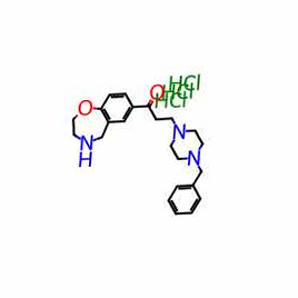 Cl.Cl.Cl.O=C(CCN1CCN(Cc2ccccc2)CC1)c1ccc2c(c1)CNCCO2